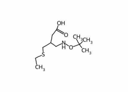 CCSCC(CNOC(C)(C)C)CC(=O)O